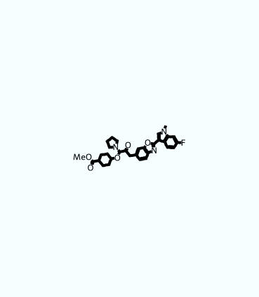 COC(=O)C1CCC(OC(C(=O)Cc2ccc3nc(-c4cn(C)c5cc(F)ccc45)oc3c2)N2CCCC2)CC1